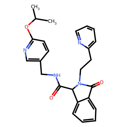 CC(C)Oc1ccc(CNC(=O)C2c3ccccc3C(=O)N2CCc2ccccn2)cn1